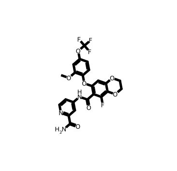 COc1cc(OC(F)(F)F)ccc1Oc1cc2c(c(F)c1C(=O)Nc1ccnc(C(N)=O)c1)OCCO2